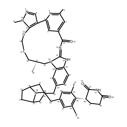 Cc1cc2cc(n1)-c1cnn(C)c1OCCC[C@@H](C)CN1/C(=N/C2=O)Nc2ccc(CN3CC4CCC(C3)N4CCc3cc(F)c([C@H]4CCC(=O)NC4=O)c(F)c3)cc21